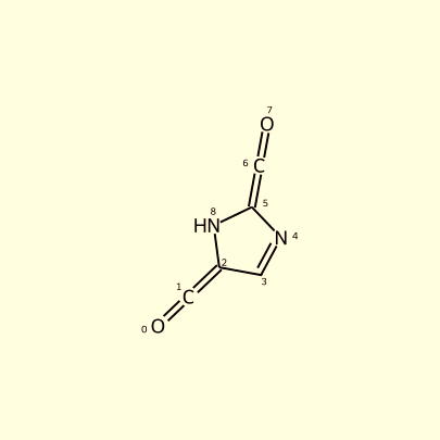 O=C=c1cnc(=C=O)[nH]1